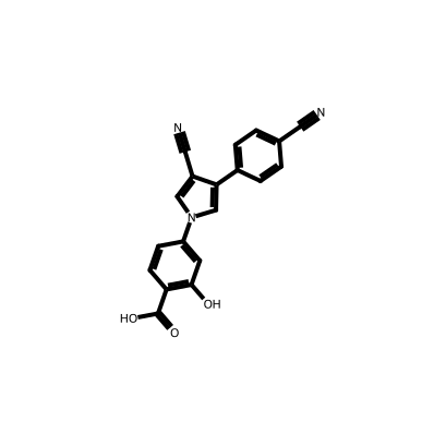 N#Cc1ccc(-c2cn(-c3ccc(C(=O)O)c(O)c3)cc2C#N)cc1